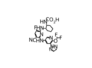 N#Cc1cc(F)c(N[C@@H]2CCCC[C@@H]2NC(=O)O)nc1Nc1cnc(OC(F)F)c(-n2nccn2)c1